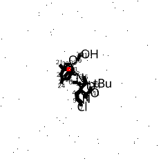 Cc1c(-c2ccc(Cl)nc2C(=O)OC(C)(C)C)ccn1CC12CC3(C)CC(C)(C1)CC(OCCO)(C3)C2